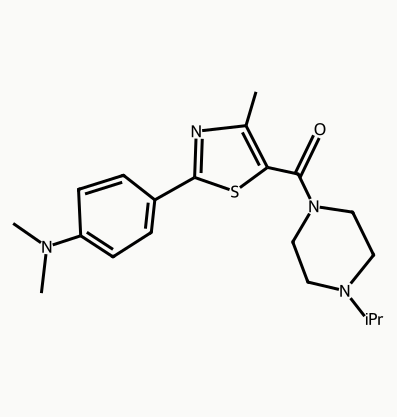 Cc1nc(-c2ccc(N(C)C)cc2)sc1C(=O)N1CCN(C(C)C)CC1